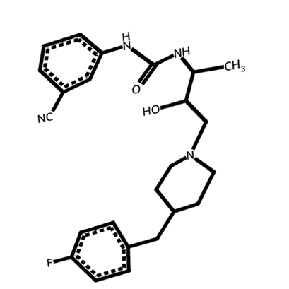 CC(NC(=O)Nc1cccc(C#N)c1)C(O)CN1CCC(Cc2ccc(F)cc2)CC1